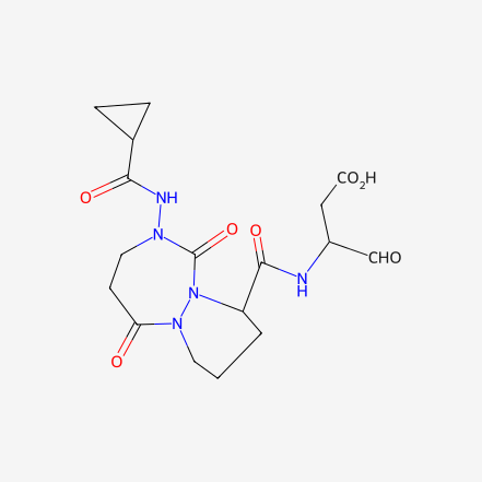 O=CC(CC(=O)O)NC(=O)C1CCCN2C(=O)CCN(NC(=O)C3CC3)C(=O)N12